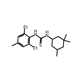 CCc1cc(C)cc(CC)c1NC(=S)NC1CC(C)CC(C)(C)C1